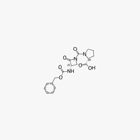 O=C(N[C@H]1CN(C(=O)N2CCC[C@@H]2C(=O)O)C1=O)OCc1ccccc1